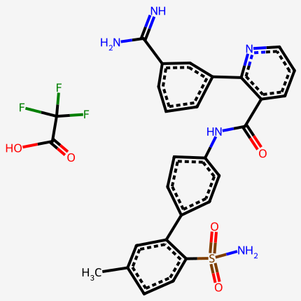 Cc1ccc(S(N)(=O)=O)c(-c2ccc(NC(=O)c3cccnc3-c3cccc(C(=N)N)c3)cc2)c1.O=C(O)C(F)(F)F